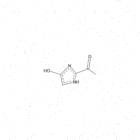 CC(=O)c1nc(O)c[nH]1